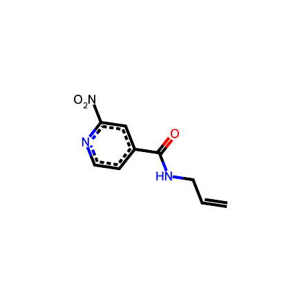 C=CCNC(=O)c1ccnc([N+](=O)[O-])c1